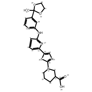 CC1(c2ccnc(Nc3cccc(-c4cnc(N5CCCC(C(=O)O)C5)s4)n3)c2)OCCO1